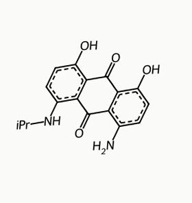 CC(C)Nc1ccc(O)c2c1C(=O)c1c(N)ccc(O)c1C2=O